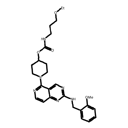 CCOCCCNC(=O)OC1CCN(c2nccc3nc(NCc4ccccc4OC)ncc23)CC1